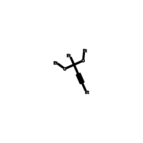 CCC#CC(CC)(OCC)OCC